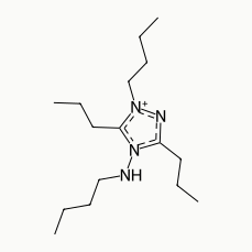 CCCCNn1c(CCC)n[n+](CCCC)c1CCC